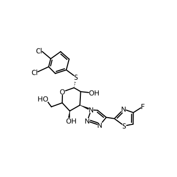 OCC1O[C@H](Sc2ccc(Cl)c(Cl)c2)C(O)[C@@H](n2cc(-c3nc(F)cs3)nn2)[C@H]1O